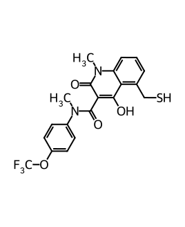 CN(C(=O)c1c(O)c2c(CS)cccc2n(C)c1=O)c1ccc(OC(F)(F)F)cc1